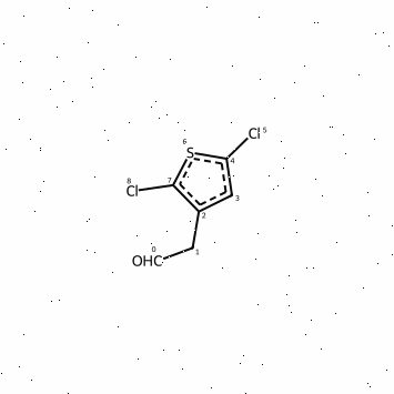 O=CCc1cc(Cl)sc1Cl